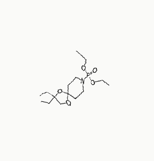 CCOP(=O)(OCC)N1CCC2(CC1)OCC(CC)(CC)O2